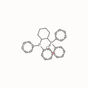 O=P(c1ccccc1)(c1ccccc1)C1CCCCC1P(c1ccccc1)c1ccccc1